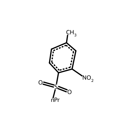 CCCS(=O)(=O)c1ccc(C)cc1[N+](=O)[O-]